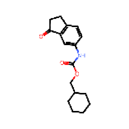 O=C(Nc1ccc2c(c1)C(=O)CC2)OCC1CCCCC1